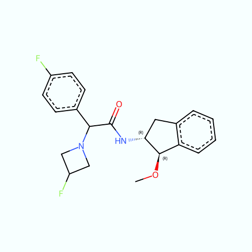 CO[C@@H]1c2ccccc2C[C@H]1NC(=O)C(c1ccc(F)cc1)N1CC(F)C1